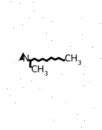 CCCCCCCCCC(CC)N1CC1